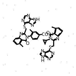 Cc1cc(C(=O)O)ccc1-n1c(CSc2ncnc3[nH]cnc23)nc2cccc(C)c2c1=O.Cc1cccc2nc(CSc3ncnc4[nH]cnc34)n(C3CC3)c(=O)c12